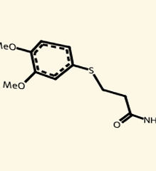 COc1ccc(SCCC(N)=O)cc1OC